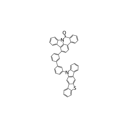 O=c1c2ccccc2c2ccc(-c3cccc(-c4cccc(-n5c6ccccc6c6cc7sc8ccccc8c7cc65)c4)c3)c3c4ccccc4n1c23